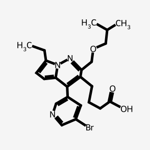 CCc1ccc2c(-c3cncc(Br)c3)c(CCCC(=O)O)c(COCC(C)C)nn12